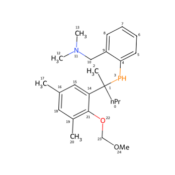 CCCC(C)(Pc1ccccc1CN(C)C)c1cc(C)cc(C)c1OCOC